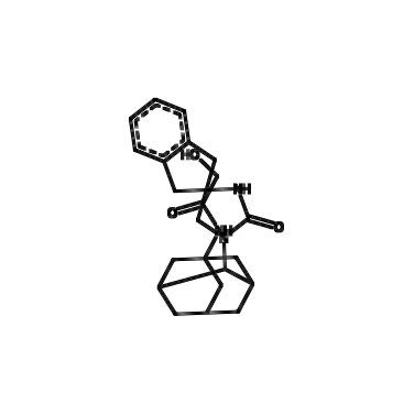 O=C(CO)NC12CC3CC(C1)C(N1CC4(Cc5ccccc5C4)NC1=O)C(C3)C2